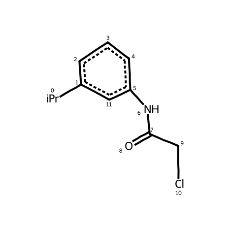 CC(C)c1cccc(NC(=O)CCl)c1